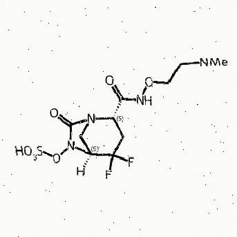 CNCCONC(=O)[C@@H]1CC(F)(F)[C@@H]2CN1C(=O)N2OS(=O)(=O)O